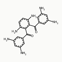 Nc1cc(N)cc(C(=O)c2c(N)ccc(N)c2C(=O)c2cc(N)cc(N)c2)c1